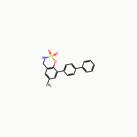 Cc1cc2c(c(-c3ccc(-c4ccccc4)cc3)c1)OS(=O)(=O)NC2